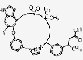 CC(CC(=O)O)c1cccc(C2CCCC(C)(C)CS(=O)(=O)CCc3c(c(F)cc4[nH]ccc34)Oc3cccc(c3)-c3ccn2n3)c1